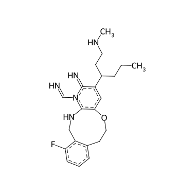 CCCC(CCNC)c1cc2c(n(C=N)c1=N)NCc1c(F)cccc1CCO2